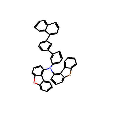 c1cc(-c2cccc(N(c3cccc4oc5ccccc5c34)c3cccc4sc5ccccc5c34)c2)cc(-c2cccc3ccccc23)c1